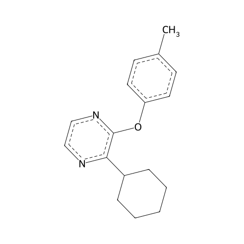 Cc1ccc(Oc2nccnc2C2CCCCC2)cc1